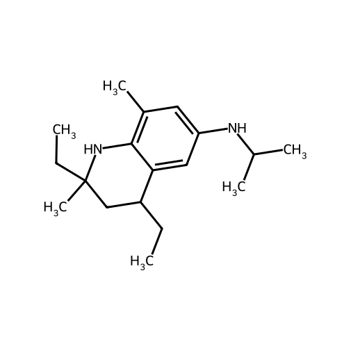 CCC1CC(C)(CC)Nc2c(C)cc(NC(C)C)cc21